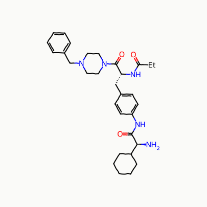 CCC(=O)N[C@H](Cc1ccc(NC(=O)[C@@H](N)C2CCCCC2)cc1)C(=O)N1CCN(Cc2ccccc2)CC1